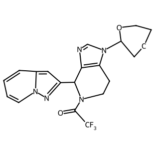 O=C(N1CCc2c(ncn2C2CCCCO2)C1c1cc2ccccn2n1)C(F)(F)F